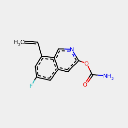 C=Cc1cc(F)cc2cc(OC(N)=O)ncc12